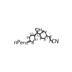 C=C(C1CCC(C=CC#N)CC1)C1CCC(CCCCC)CC1